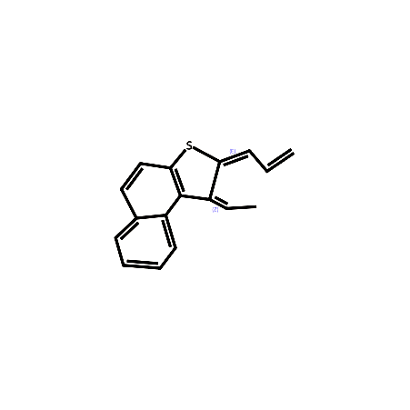 C=C/C=c1/sc2ccc3ccccc3c2/c1=C/C